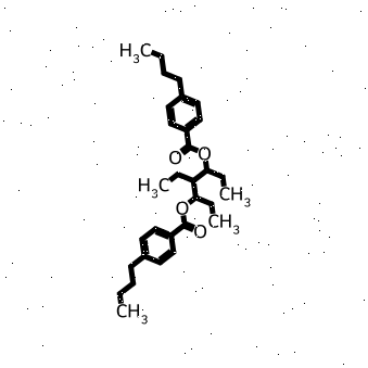 CCCCc1ccc(C(=O)OC(CC)C(CC)C(CC)OC(=O)c2ccc(CCCC)cc2)cc1